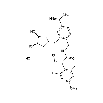 CCO[C@H](C(=O)NCc1ccc(C(=N)N)cc1O[C@@H]1C[C@@H](O)[C@@H](O)C1)c1c(F)cc(OC)cc1F.Cl